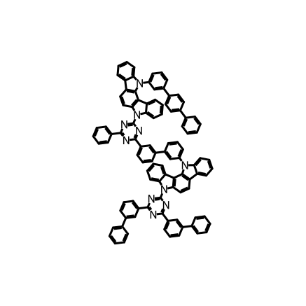 c1ccc(-c2ccc(-c3cccc(-n4c5ccccc5c5ccc6c(c7ccccc7n6-c6nc(-c7ccccc7)nc(-c7cccc(-c8cccc(-n9c%10ccccc%10c%10ccc%11c(c%12ccccc%12n%11-c%11nc(-c%12cccc(-c%13ccccc%13)c%12)nc(-c%12cccc(-c%13ccccc%13)c%12)n%11)c%109)c8)c7)n6)c54)c3)cc2)cc1